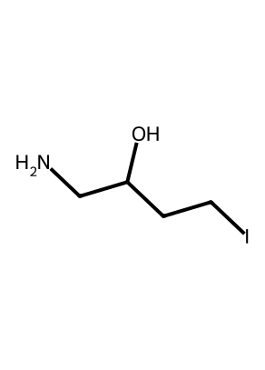 NCC(O)CCI